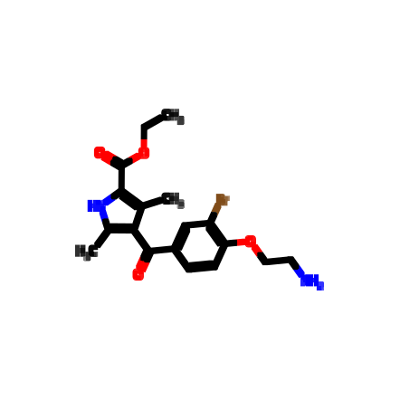 CCOC(=O)c1[nH]c(C)c(C(=O)c2ccc(OCCN)c(Br)c2)c1C